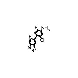 Nc1cc(Cl)c(-c2cc3nonc3cc2F)cc1F